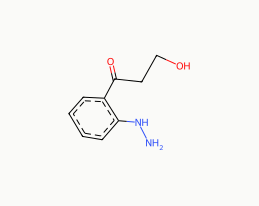 NNc1ccccc1C(=O)CCO